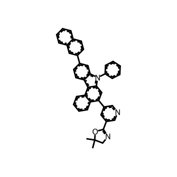 CC1(C)CN=C(c2cncc(-c3cc4c(c5ccccc35)c3ccc(-c5ccc6ccccc6c5)cc3n4-c3ccccc3)c2)O1